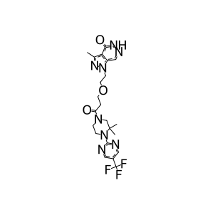 Cc1nn(CCOCCC(=O)N2CCN(c3ncc(C(F)(F)F)cn3)C(C)(C)C2)c2cn[nH]c(=O)c12